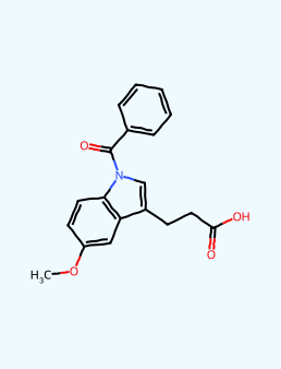 COc1ccc2c(c1)c(CCC(=O)O)cn2C(=O)c1ccccc1